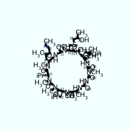 C/C=C/C[C@@H](C)C[C@H]1C(=O)NC(=O)N(C)[C@@H](CSCC(C)O)C(=O)N(C)[C@@H](CC(C)(C)O)C(=O)NC(=O)N(C)C(=O)NC(=O)N[C@H](C)C(=O)N(C)[C@@H](CC(C)C)C(=O)N(C)C(=O)N(C)[C@@H](C(C)C)C(=O)N1C